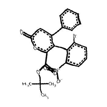 CC(C)(C)OC(=O)c1oc(=O)cc(-c2ccccc2)c1-c1c(Br)cccc1[N+](=O)[O-]